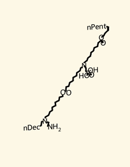 CCCCC/C=C\CCOC(=O)CCCCCCCCCN(CCCCCCCCCC(=O)OCCCCCCCCCCN(CCN)CCCCCCCCCCCC)CCP(=O)(O)O